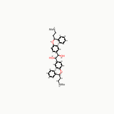 CNCCC(Oc1ccc(C(O)C(O)c2ccc(OC(CCNC)c3ccccc3)cc2)cc1)c1ccccc1